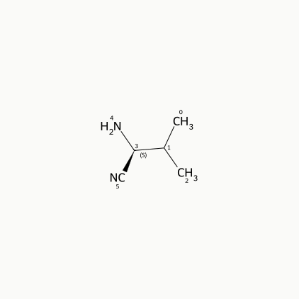 CC(C)[C@H](N)C#N